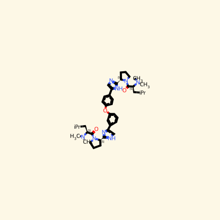 CC(C)C[C@@H](C(=O)N1CCC[C@H]1c1nc(-c2cccc(Oc3ccc(-c4cnc([C@@H]5CCCN5C(=O)[C@H](CC(C)C)N(C)C)[nH]4)cc3)c2)c[nH]1)N(C)C